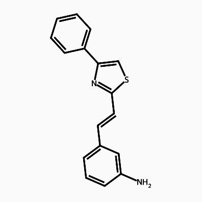 Nc1cccc(/C=C/c2nc(-c3ccccc3)cs2)c1